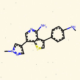 CNc1ccc(-c2csc3c(-c4cnn(C)c4)cnc(N)c23)cc1